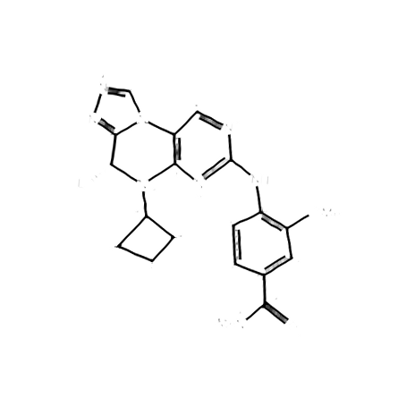 CC[C@@H]1c2nncn2-c2cnc(Nc3ccc(C(=O)NC)cc3OC)nc2N1C1CCC1